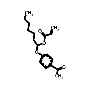 C=CC(=O)OC(CCCCCC)Oc1ccc(C(C)=O)cc1